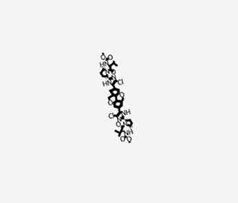 COC(=O)N[C@H](C(=O)N1[C@@H](C)CC[C@H]1c1nc(Cl)c(-c2cc3c4c(c2)OCc2cc(-c5[nH]c([C@@H]6CC[C@H](C)N6C(=O)[C@@H](NC(=O)OC)C(C)C)nc5Cl)cc(c2-4)OC3)[nH]1)C(C)C